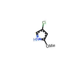 COc1cc(Cl)[c][nH]1